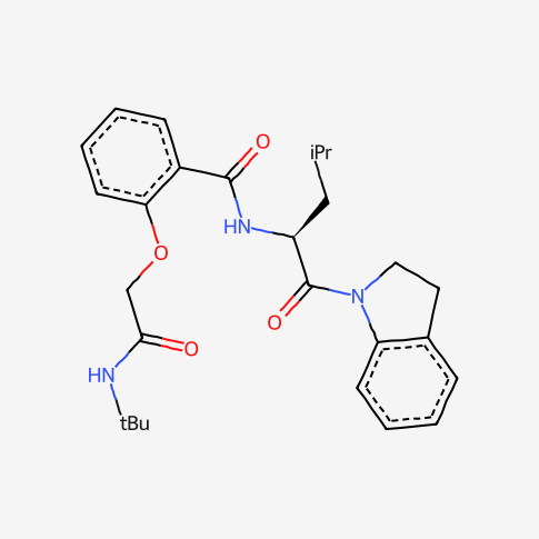 CC(C)C[C@H](NC(=O)c1ccccc1OCC(=O)NC(C)(C)C)C(=O)N1CCc2ccccc21